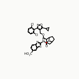 O=C(O)c1ccc2nc(NC(=O)N3C4CCC(COCc5c(-c6c(Cl)cccc6Cl)noc5C5CC5)C3CC4)sc2c1